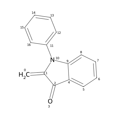 C=C1C(=O)c2ccccc2N1c1ccccc1